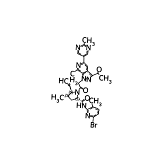 C#C[C@@H]1[C@@H](C)C[C@@H](C(=O)Nc2nc(Br)ccc2C)N1C(=O)Cn1nc(C(C)=O)c2cc(-c3cnc(C)nc3)nc(C)c21